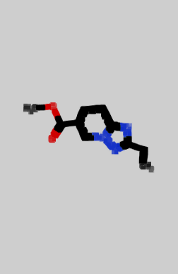 C=Cc1nc2ccc(C(=O)OC)cn2n1